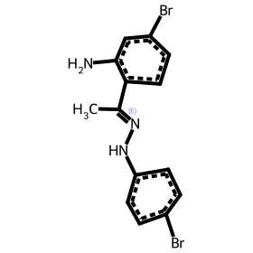 C/C(=N\Nc1ccc(Br)cc1)c1ccc(Br)cc1N